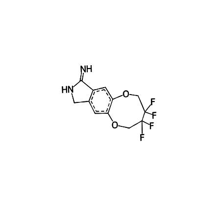 N=C1NCc2cc3c(cc21)OCC(F)(F)C(F)(F)CO3